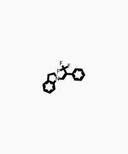 FC(F)(F)/C(=C\N1CCc2ccccc21)c1ccccc1